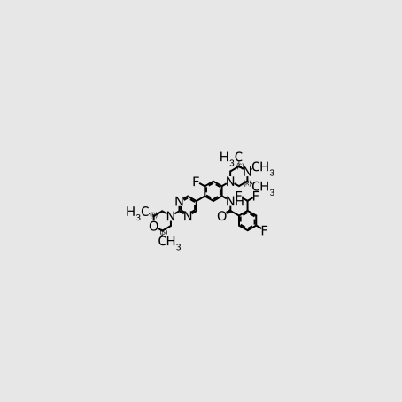 C[C@@H]1CN(c2ncc(-c3cc(NC(=O)c4ccc(F)cc4C(F)F)c(N4C[C@@H](C)N(C)[C@@H](C)C4)cc3F)cn2)C[C@H](C)O1